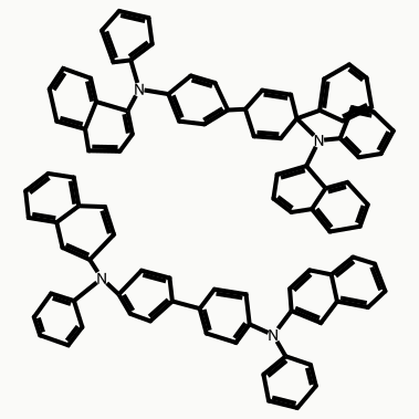 C1=CC(c2ccccc2)(N(c2ccccc2)c2cccc3ccccc23)C=CC1c1ccc(N(c2ccccc2)c2cccc3ccccc23)cc1.c1ccc(N(c2ccc(-c3ccc(N(c4ccccc4)c4ccc5ccccc5c4)cc3)cc2)c2ccc3ccccc3c2)cc1